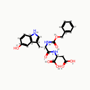 O=C(O)C[C@H](NC(=O)[C@H](Cc1c[nH]c2ccc(O)cc12)NC(=O)OCc1ccccc1)C(=O)O